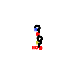 O=C(O)c1cc2ccc(OCc3ccccn3)cc2s1